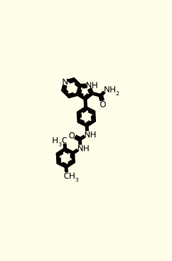 Cc1ccc(C)c(NC(=O)Nc2ccc(-c3c(C(N)=O)[nH]c4cnccc34)cc2)c1